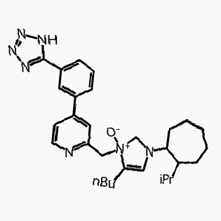 CCCCC1=CN(C2CCCCCC2C(C)C)C[N+]1([O-])Cc1cc(-c2cccc(-c3nnn[nH]3)c2)ccn1